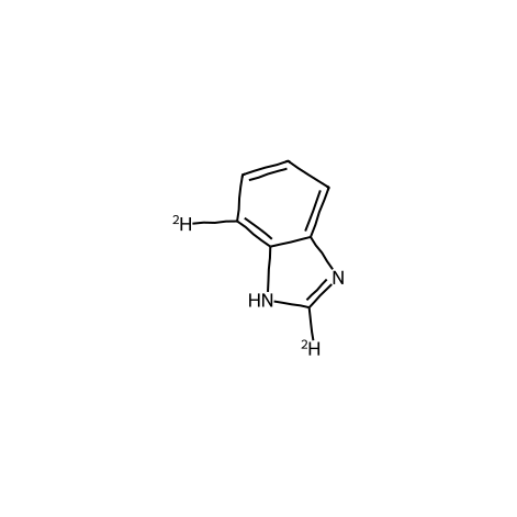 [2H]c1nc2cccc([2H])c2[nH]1